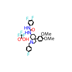 COc1ccc(C23CCC(NC(=O)Nc4ccc(F)c(F)c4)CC2N(Cc2ccc(F)cc2)CC3)cc1OC.O=C(O)C(F)(F)F